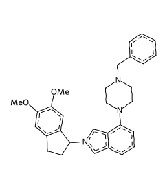 COc1cc2c(cc1OC)C(n1cc3cccc(N4CCN(Cc5ccccc5)CC4)c3c1)CC2